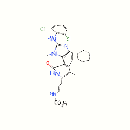 C1CCCCC1.Cc1c(CC=CNC(=O)O)[nH]c(=O)c2c1ccc1nc(Nc3c(Cl)cccc3Cl)n(C)c12